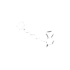 O=c1ccc2ccccc2n1OCCCCCCN1CCOCC1